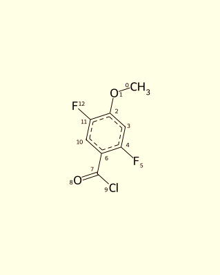 COc1cc(F)c(C(=O)Cl)cc1F